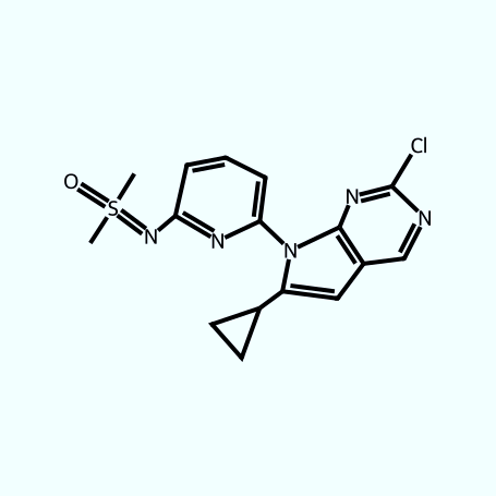 CS(C)(=O)=Nc1cccc(-n2c(C3CC3)cc3cnc(Cl)nc32)n1